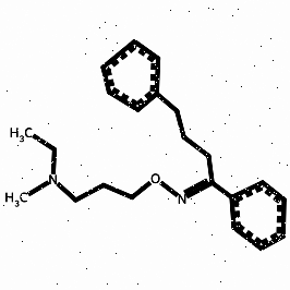 CCN(C)CCCON=C(CCCc1ccccc1)c1ccccc1